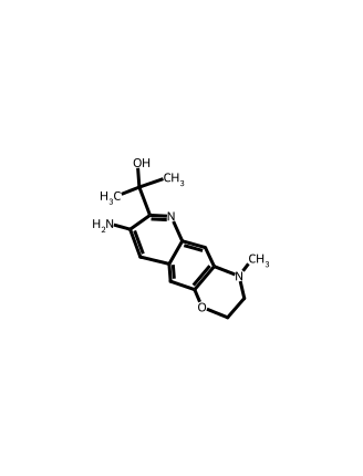 CN1CCOc2cc3cc(N)c(C(C)(C)O)nc3cc21